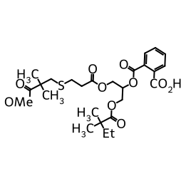 CCC(C)(C)C(=O)OCC(COC(=O)CCSCC(C)(C)C(=O)OC)OC(=O)c1ccccc1C(=O)O